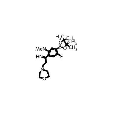 CNc1cc(B2OC(C)(C)C(C)(C)O2)c(F)cc1C(=N)CCN1CCOCC1